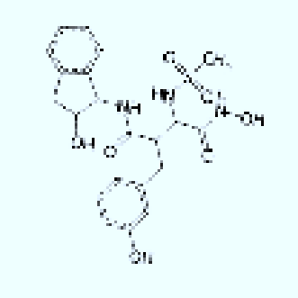 CS(=O)(=O)NC(C(=O)NO)C(Cc1cccc(O)c1)C(=O)NC1c2ccccc2CC1O